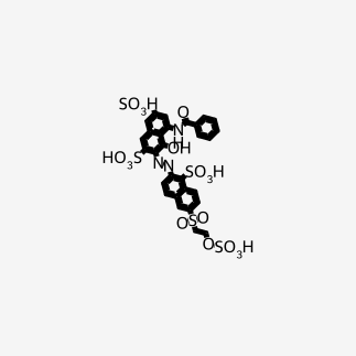 O=C(Nc1cc(S(=O)(=O)O)cc2cc(S(=O)(=O)O)c(/N=N/c3ccc4cc(S(=O)(=O)CCOS(=O)(=O)O)ccc4c3S(=O)(=O)O)c(O)c12)c1ccccc1